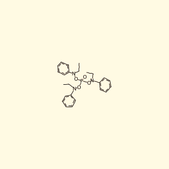 CCN(OP(=O)(ON(CC)c1ccccc1)ON(CC)c1ccccc1)c1ccccc1